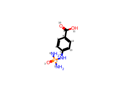 NP(N)(=O)Nc1ccc(C(=O)O)cc1